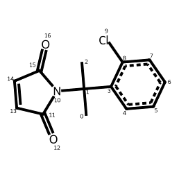 CC(C)(c1ccccc1Cl)N1C(=O)C=CC1=O